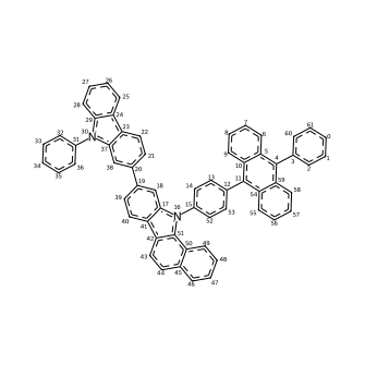 c1ccc(-c2c3ccccc3c(-c3ccc(-n4c5cc(-c6ccc7c8ccccc8n(-c8ccccc8)c7c6)ccc5c5ccc6ccccc6c54)cc3)c3ccccc23)cc1